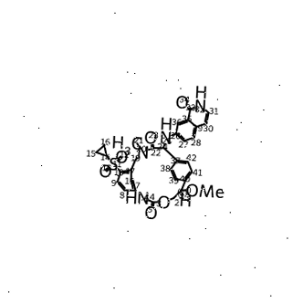 CO[C@H]1COC(=O)Nc2ccc(S(=O)(=O)C3CC3)c(c2)CN(C)C(=O)C(Nc2ccc3cc[nH]c(=O)c3c2)c2ccc1cc2